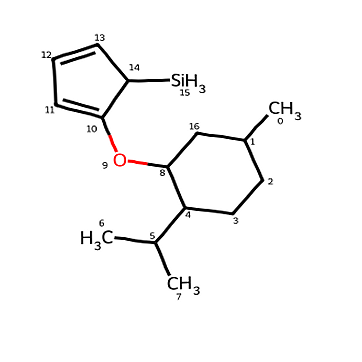 CC1CCC(C(C)C)C(OC2=CC=CC2[SiH3])C1